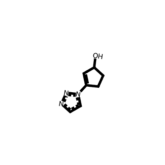 OC1C=C(n2ccnn2)CC1